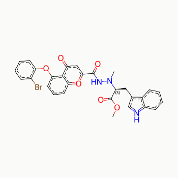 COC(=O)[C@H](Cc1c[nH]c2ccccc12)N(C)NC(=O)c1cc(=O)c2c(Oc3ccccc3Br)cccc2o1